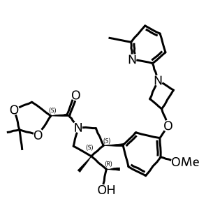 COc1ccc([C@@H]2CN(C(=O)[C@@H]3COC(C)(C)O3)C[C@@]2(C)[C@@H](C)O)cc1OC1CN(c2cccc(C)n2)C1